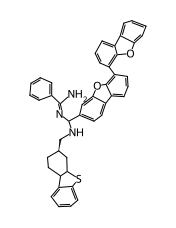 N/C(=N\C(NC[C@@H]1CCC2c3ccccc3SC2C1)c1ccc2c(c1)oc1c(-c3cccc4c3oc3ccccc34)cccc12)c1ccccc1